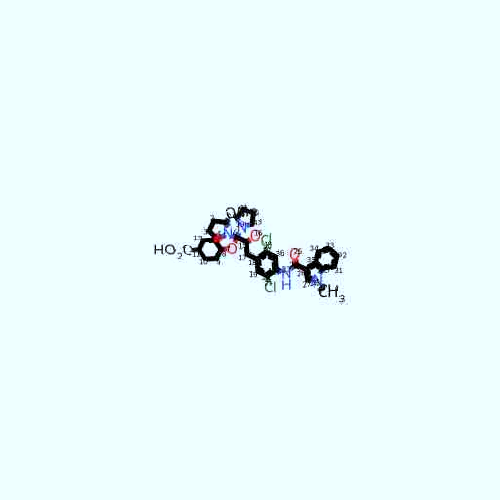 COC1CCCN1C(OC1CCC(C(=O)O)CC1)(C(=O)Cc1cc(Cl)c(NC(=O)c2cn(C)c3ccccc23)cc1Cl)N1CCCC1